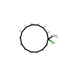 CC1(Br)CCCCCCCCCCCCC1